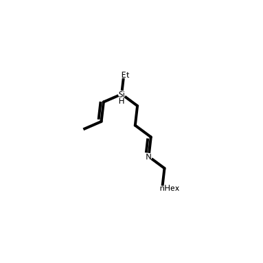 CC=C[SiH](CC)CCC=NCCCCCCC